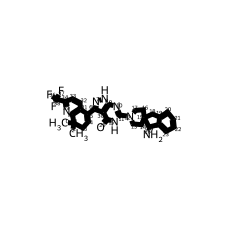 CC1(C)CC=C(c2n[nH]c3nc(N4CCC5(CC4)Cc4ccccc4[C@H]5N)[nH]c(=O)c23)c2ccc(C(F)(F)F)nc21